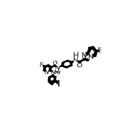 O=C(NC1CCC(NC(=O)c2cc(F)cnc2Nc2cccc(I)c2)CC1)c1cn2cc(F)ccc2n1